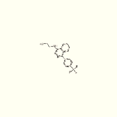 OCCNc1nnc(-c2ccc(C(F)(F)F)cc2)c2ccccc12